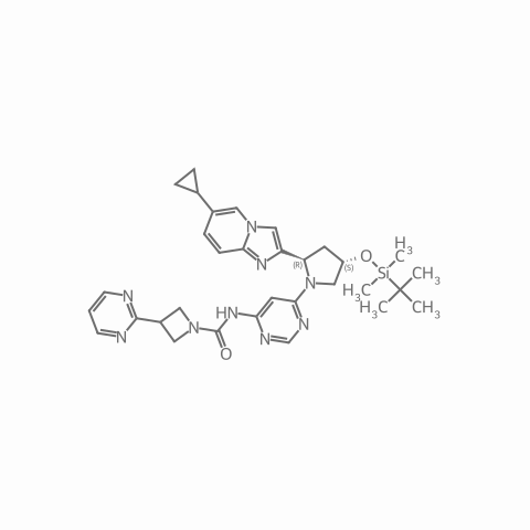 CC(C)(C)[Si](C)(C)O[C@H]1C[C@H](c2cn3cc(C4CC4)ccc3n2)N(c2cc(NC(=O)N3CC(c4ncccn4)C3)ncn2)C1